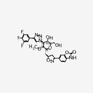 CO[C@@H]1[C@@H](n2cc(-c3cc(F)c(F)c(F)c3)nn2)[C@@H](O)[C@@H](CO)O[C@@H]1CC1CC(c2ccc3[nH]c(=O)oc3c2)=NO1